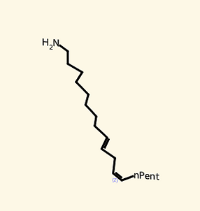 CCCCC/C=C\CC=CCCCCCCCCN